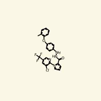 Cc1ccccc1Oc1ccc(NNC(=O)c2cccn2-c2ncc(C(F)(F)F)cc2Cl)cc1